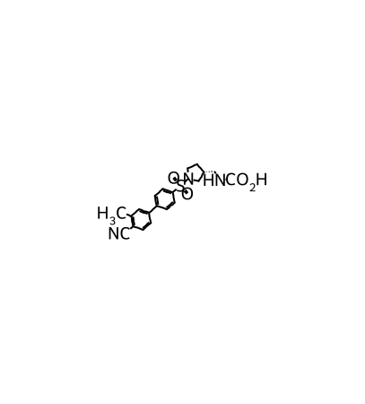 Cc1cc(-c2ccc(S(=O)(=O)N3CC[C@H](CNC(=O)O)C3)cc2)ccc1C#N